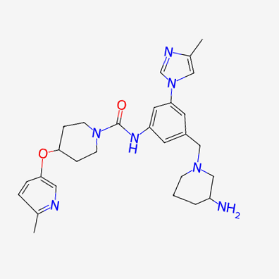 Cc1ccc(OC2CCN(C(=O)Nc3cc(CN4CCCC(N)C4)cc(-n4cnc(C)c4)c3)CC2)cn1